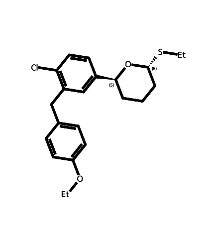 CCOc1ccc(Cc2cc([C@@H]3CCC[C@@H](SCC)O3)ccc2Cl)cc1